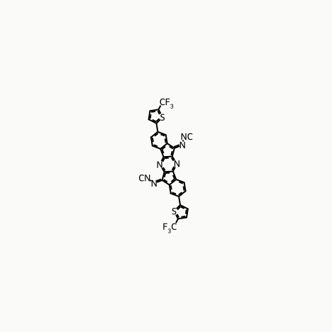 [C-]#[N+]/N=c1/c2cc(-c3ccc(C(F)(F)F)s3)ccc2c2nc3/c(=N/[N+]#[C-])c4cc(-c5ccc(C(F)(F)F)s5)ccc4c3nc12